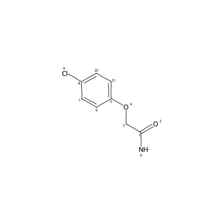 [NH]C(=O)COc1ccc(Cl)cc1